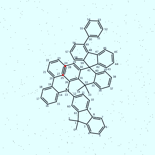 CC1(C)c2ccccc2-c2ccc(N(c3ccccc3-c3ccccc3)c3cccc4c3C(C)(C)c3ccccc3C43c4ccccc4-c4c(-c5ccccc5)cccc43)cc21